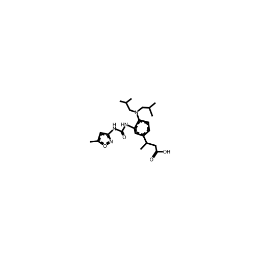 Cc1cc(NC(=O)Nc2cc(C(C)CC(=O)O)ccc2N(CC(C)C)CC(C)C)no1